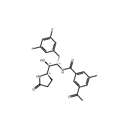 CC(=O)c1cc(C)cc(C(=O)N[C@@H](Cc2cc(F)cc(F)c2)[C@H](O)[C@H]2CCC(=O)N2)c1